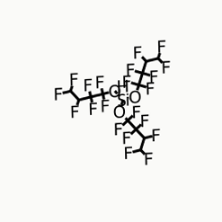 FC(F)C(F)C(F)(F)C(F)(F)O[SiH](OC(F)(F)C(F)(F)C(F)C(F)F)OC(F)(F)C(F)(F)C(F)C(F)F